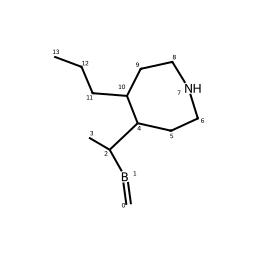 C=BC(C)C1CCNCCC1CCC